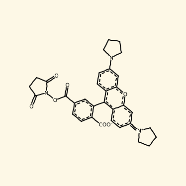 O=C(ON1C(=O)CCC1=O)c1ccc(C(=O)[O-])c(-c2c3ccc(=[N+]4CCCC4)cc-3oc3cc(N4CCCC4)ccc23)c1